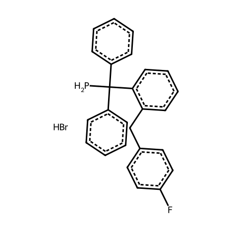 Br.Fc1ccc(Cc2ccccc2C(P)(c2ccccc2)c2ccccc2)cc1